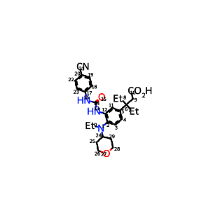 CCN(c1ccc(C(CC)(CC)CC(=O)O)cc1NC(=O)Nc1ccc(C#N)cc1)C1CCOCC1